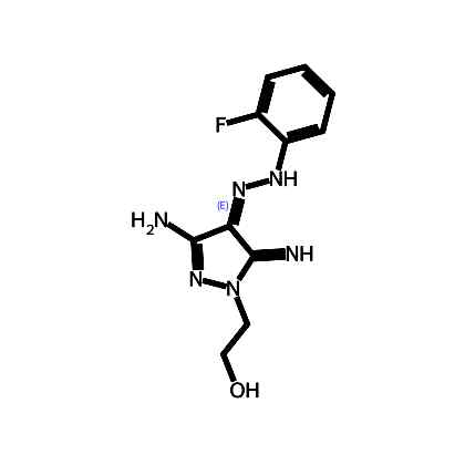 N=C1/C(=N\Nc2ccccc2F)C(N)=NN1CCO